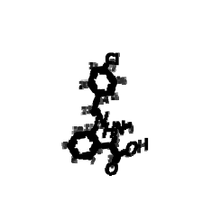 CNC(C(=O)O)c1ccccc1N=Cc1ccc(Cl)cc1